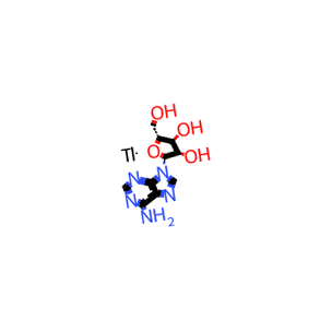 Nc1ncnc2c1ncn2[C@@H]1O[C@H](CO)[C@@H](O)[C@H]1O.[Tl]